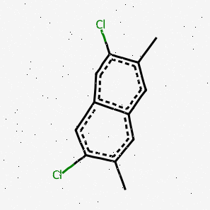 Cc1cc2cc(C)c(Cl)cc2cc1Cl